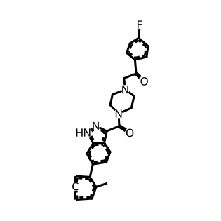 Cc1ccccc1-c1ccc2c(C(=O)N3CCN(CC(=O)c4ccc(F)cc4)CC3)n[nH]c2c1